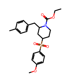 CCOC(=O)N1CCC(S(=O)(=O)c2ccc(OC)cc2)CC1Cc1ccc(C)cc1